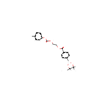 Cc1ccc(OC(=O)OCCOC(=O)c2ccc(B3OC(C)(C)C(C)(C)O3)cc2)cc1